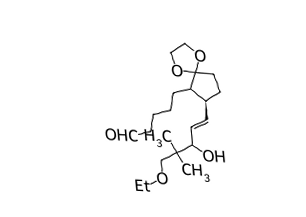 CCOCC(C)(C)C(O)C=C[C@@H]1CCC2(OCCO2)C1CCCCC=O